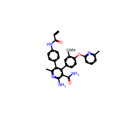 C=CC(=O)Nc1ccc(-c2c(C)nc(N)c(C(N)=O)c2-c2ccc(Oc3cccc(C)n3)c(OC)c2)cc1